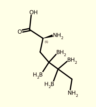 BC(B)(CN)C(B)(B)C[C@H](N)C(=O)O